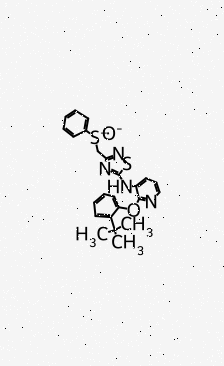 CC(C)(C)c1ccccc1Oc1ncccc1Nc1nc(C[S+]([O-])c2ccccc2)ns1